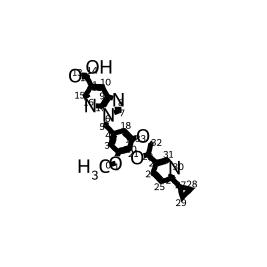 COc1cc(Cn2cnc3cc(C(=O)O)cnc32)cc2c1OC(c1ccc(C3CC3)nc1)CO2